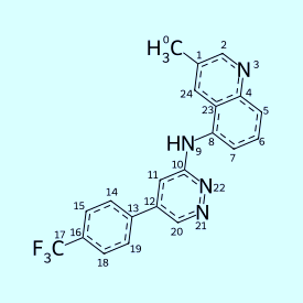 Cc1cnc2cccc(Nc3cc(-c4ccc(C(F)(F)F)cc4)cnn3)c2c1